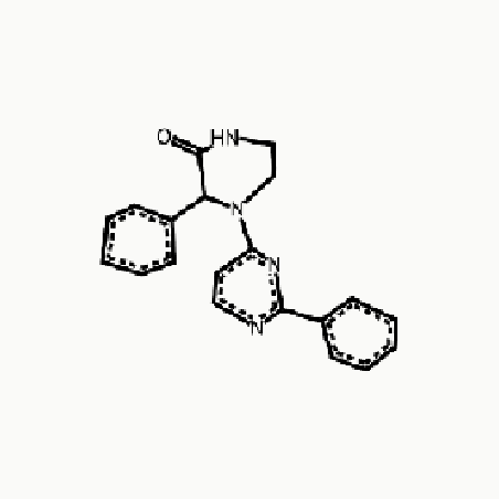 O=C1NCCN(c2ccnc(-c3ccccc3)n2)C1c1ccccc1